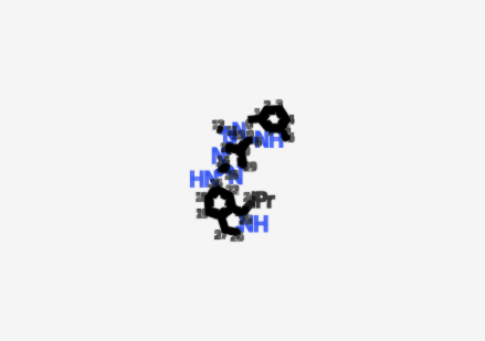 Cc1cccc(C)c1Nc1nn(C)c2nc(Nc3ccc4c(c3)C(C(C)C)NCC4)ncc12